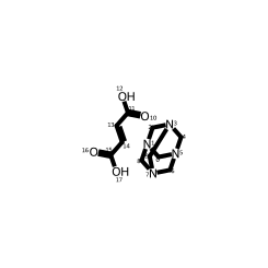 C1N2CN3CN1CN(C2)C3.O=C(O)C=CC(=O)O